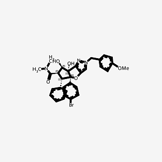 COc1ccc(Cn2cc3c(n2)[C@]2(O)[C@H](O)[C@H](C(=O)N(C)C)[C@@H](c4ccccc4)[C@]2(c2ccc(Br)cc2)O3)cc1